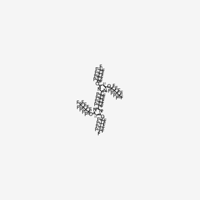 FC(F)(F)C(F)(F)C(F)(F)C(F)(F)Oc1cc(OC(F)(F)C(F)(F)C(F)(F)C(F)(F)F)nc(C(F)(F)C(F)(F)C(F)(F)C(F)(F)c2nc(OC(F)(F)C(F)(F)C(F)(F)C(F)(F)F)cc(OC(F)(F)C(F)(F)C(F)(F)C(F)(F)F)n2)n1